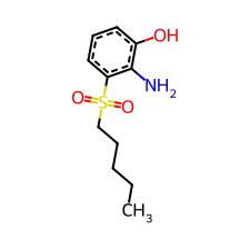 CCCCCS(=O)(=O)c1cccc(O)c1N